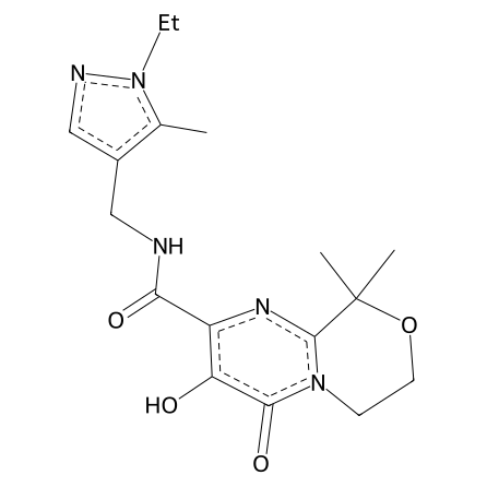 CCn1ncc(CNC(=O)c2nc3n(c(=O)c2O)CCOC3(C)C)c1C